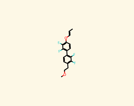 C/C=C/Oc1ccc(-c2ccc(CCOC)c(F)c2F)c(F)c1F